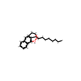 CCCCCCCCCc1c2cc3ccccc3c1OOCC2